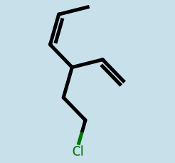 C=CC(/C=C\C)CCCl